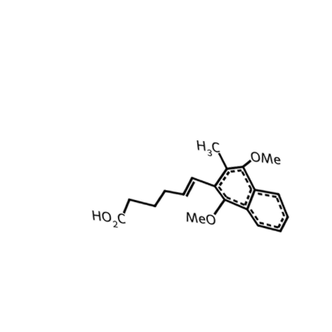 COc1c(C)c(C=CCCCC(=O)O)c(OC)c2ccccc12